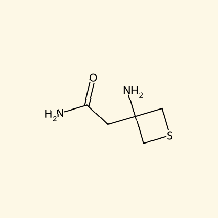 NC(=O)CC1(N)CSC1